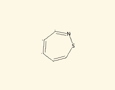 [C]1=[C]C=CSN=[C]1